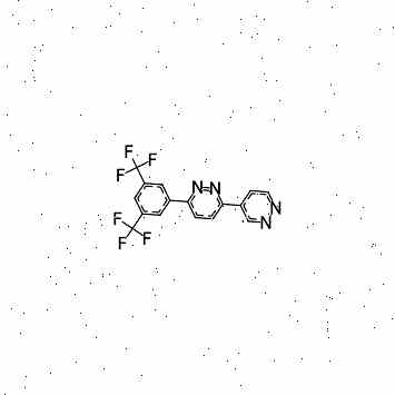 FC(F)(F)c1cc(-c2ccc(-c3[c]nncc3)nn2)cc(C(F)(F)F)c1